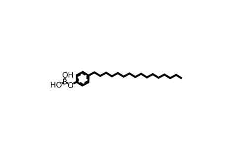 CCCCCCCCCCCCCCCCc1ccc(OB(O)O)cc1